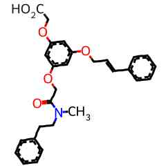 CN(CCc1ccccc1)C(=O)COc1cc(OCC=Cc2ccccc2)cc(OCC(=O)O)c1